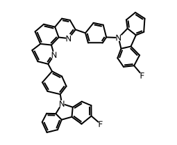 Fc1ccc2c(c1)c1ccccc1n2-c1ccc(-c2ccc3ccc4ccc(-c5ccc(-n6c7ccccc7c7cc(F)ccc76)cc5)nc4c3n2)cc1